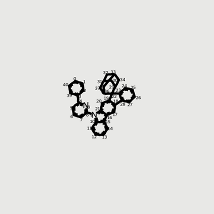 c1ccc(-c2cccc(-n3c4ccccc4c4cc5c(cc43)C3(c4ccccc4-5)C4CC5CC(C4)CC3C5)n2)cc1